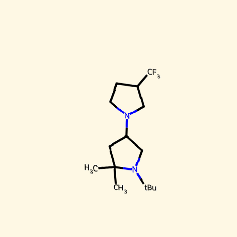 CC(C)(C)N1CC(N2CCC(C(F)(F)F)C2)CC1(C)C